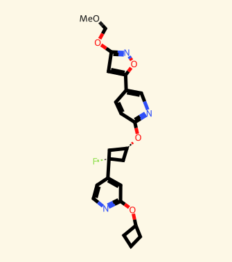 COCOc1cc(-c2ccc(O[C@H]3C[C@](F)(c4ccnc(OC5CCC5)c4)C3)nc2)on1